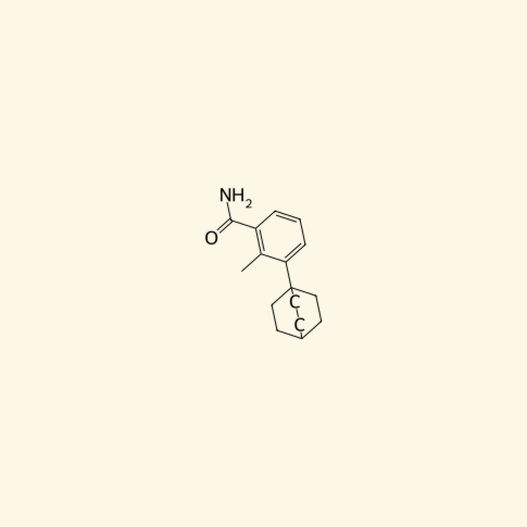 Cc1c(C(N)=O)cccc1C12CCC(CC1)CC2